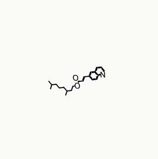 CC(C)CCCC(C)CCOC(=O)/C=C/c1ccc2ncccc2c1